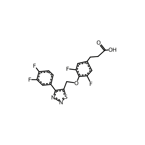 O=C(O)CCc1cc(F)c(OCc2snnc2-c2ccc(F)c(F)c2)c(F)c1